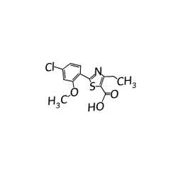 CCc1nc(-c2ccc(Cl)cc2OC)sc1C(=O)O